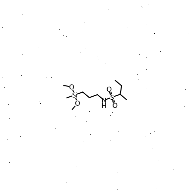 CCC(C)S(=O)(=O)NCCC[Si](C)(OC)OC